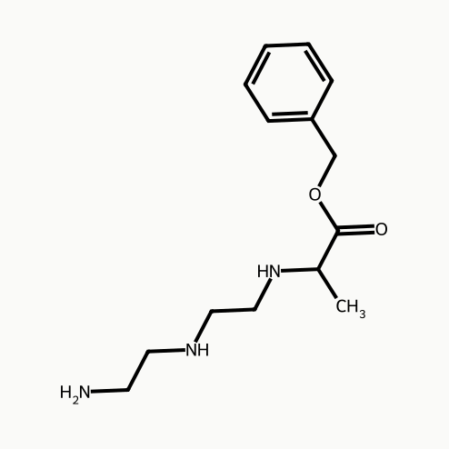 CC(NCCNCCN)C(=O)OCc1ccccc1